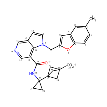 Cc1ccc2oc(Cn3ccc4cncc(C(=O)NC5(C67CC(C(=O)O)(C6)C7)CC5)c43)cc2c1